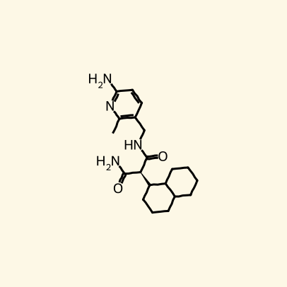 Cc1nc(N)ccc1CNC(=O)[C@H](C(N)=O)C1CCCC2CCCCC21